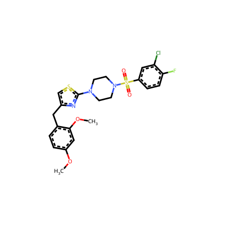 COc1ccc(Cc2csc(N3CCN(S(=O)(=O)c4ccc(F)c(Cl)c4)CC3)n2)c(OC)c1